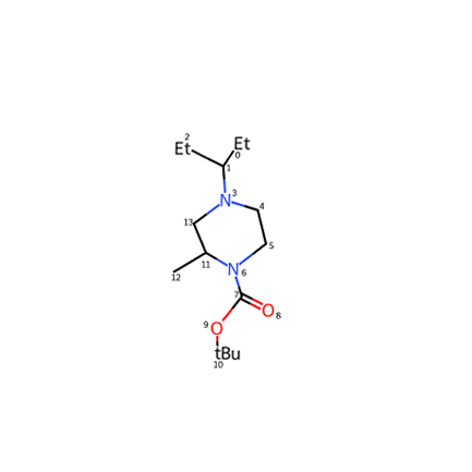 CCC(CC)N1CCN(C(=O)OC(C)(C)C)C(C)C1